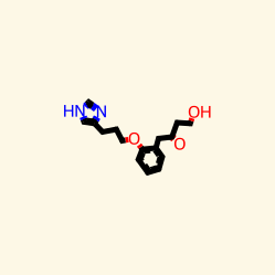 O=C(CCO)Cc1ccccc1OCCCc1c[nH]cn1